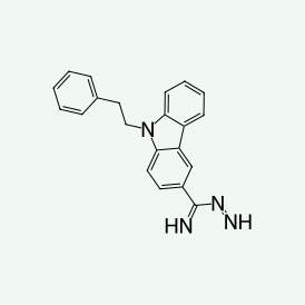 N=NC(=N)c1ccc2c(c1)c1ccccc1n2CCc1ccccc1